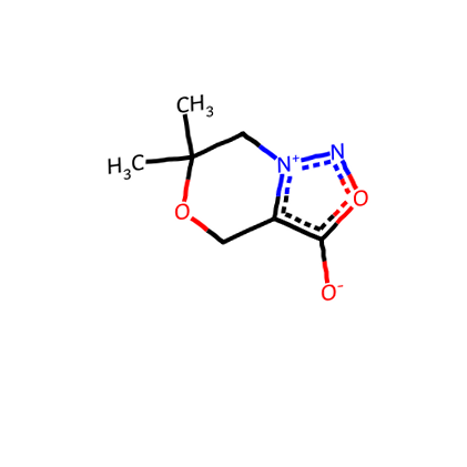 CC1(C)C[n+]2noc([O-])c2CO1